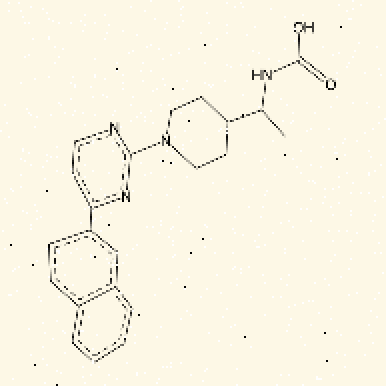 CC(NC(=O)O)C1CCN(c2nccc(-c3ccc4ccccc4c3)n2)CC1